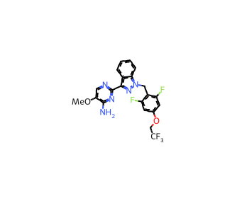 COc1cnc(-c2nn(Cc3c(F)cc(OCC(F)(F)F)cc3F)c3ccccc23)nc1N